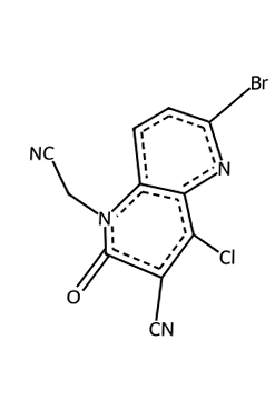 N#CCn1c(=O)c(C#N)c(Cl)c2nc(Br)ccc21